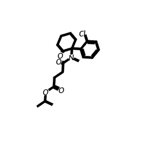 CC(C)OC(=O)CCC(=O)N(C)C1(c2ccccc2Cl)CCCCC1=O